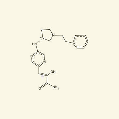 NC(=O)/C(O)=C/c1cnc(N[C@@H]2CCN(CCc3ccccc3)C2)cn1